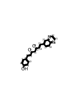 O=C(/C=C/c1ccc(O)cc1)CC(=O)/C=C/c1ccc2nccnc2c1